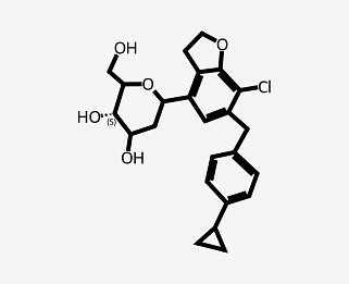 OCC1OC(c2cc(Cc3ccc(C4CC4)cc3)c(Cl)c3c2CCO3)CC(O)[C@@H]1O